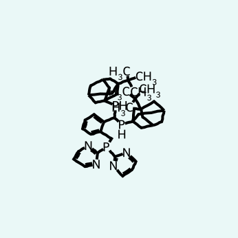 CC(C)(C)C12CC3CC(CC(PC(PC45CC6CC(C4)CC(C(C)(C)C)(C6)C5)c4ccccc4CP(c4ncccn4)c4ncccn4)(C3)C1)C2